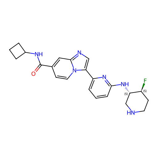 O=C(NC1CCC1)c1ccn2c(-c3cccc(N[C@H]4CNCC[C@@H]4F)n3)cnc2c1